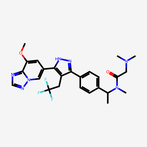 COc1cc(-c2[nH]nc(-c3ccc(C(C)N(C)C(=O)CN(C)C)cc3)c2CC(F)(F)F)cn2ncnc12